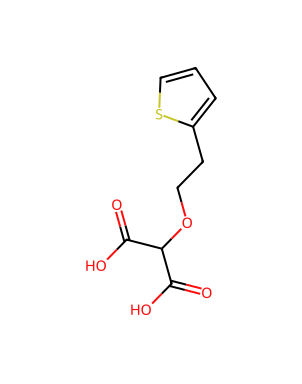 O=C(O)C(OCCc1cccs1)C(=O)O